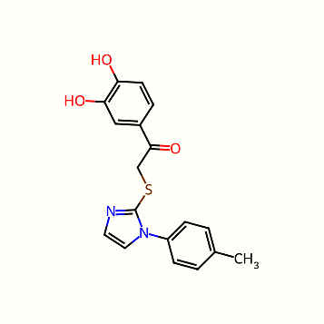 Cc1ccc(-n2ccnc2SCC(=O)c2ccc(O)c(O)c2)cc1